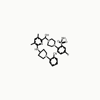 Cc1cc(C)c(C(O)N2CCN(c3ccc(F)cc3S(N)(=O)=O)CC2)nc1NC1CCN(c2ccccc2C#N)CC1